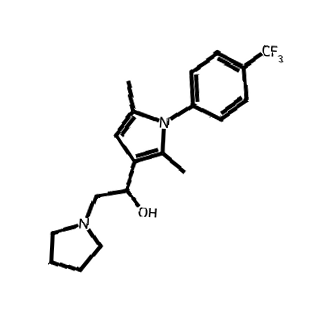 Cc1cc(C(O)CN2CCCC2)c(C)n1-c1ccc(C(F)(F)F)cc1